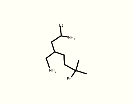 CCC(N)CC(CN)CCC(C)(C)CC